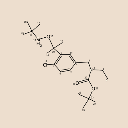 CCN(Cc1ccc(Cl)c(C(C)(C)O[SiH2]C(C)(C)C)c1)C(=O)OC(C)(C)C